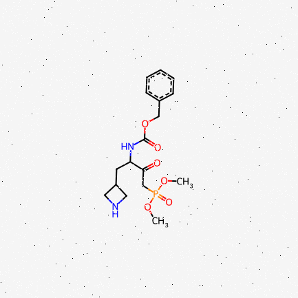 COP(=O)(CC(=O)C(CC1CNC1)NC(=O)OCc1ccccc1)OC